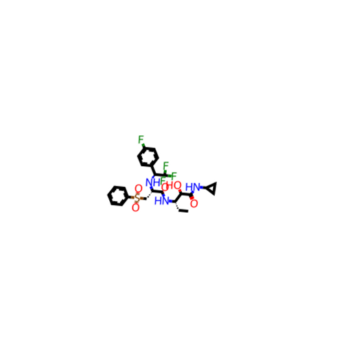 CC[C@H](NC(=O)[C@H](CS(=O)(=O)c1ccccc1)N[C@@H](c1ccc(F)cc1)C(F)(F)F)C(O)C(=O)NC1CC1